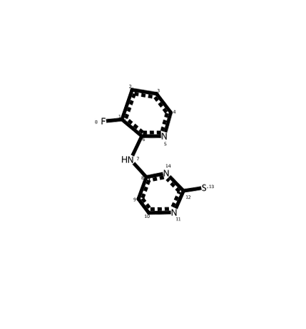 Fc1cccnc1Nc1ccnc([S])n1